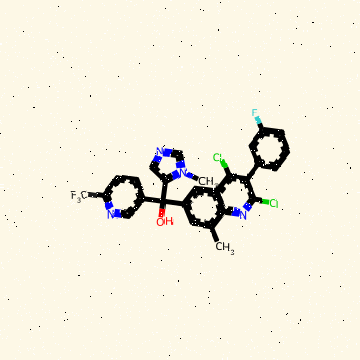 Cc1cc(C(O)(c2ccc(C(F)(F)F)nc2)c2cncn2C)cc2c(Cl)c(-c3cccc(F)c3)c(Cl)nc12